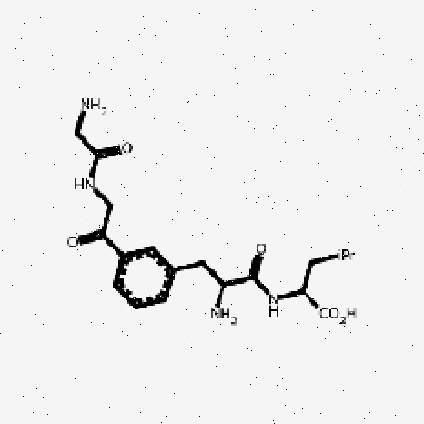 CC(C)C[C@H](NC(=O)[C@@H](N)Cc1cccc(C(=O)CNC(=O)CN)c1)C(=O)O